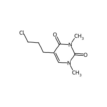 Cn1cc(CCCCl)c(=O)n(C)c1=O